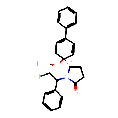 O=C1CC[C@H](C2(OC(F)(F)F)C=CC(c3ccccc3)=CC2)N1C(CCl)c1ccccc1